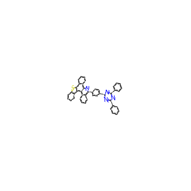 c1ccc(-c2nc(-c3ccccc3)nc(-c3ccc(-c4nc5c6ccccc6c6sc7ccccc7c6c5c5ccccc45)cc3)n2)cc1